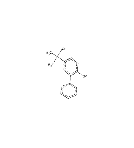 CCCC(C)(C)c1ccc(O)c(-c2ccccc2)c1